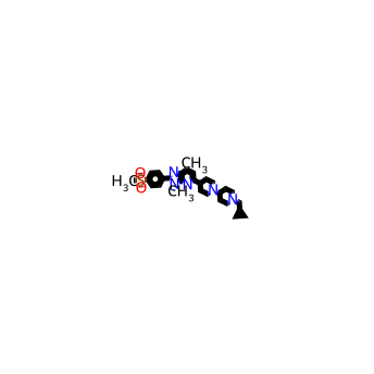 Cc1cc(C2CCN(C3CCN(CC4CC4)CC3)CC2)nc2c1nc(-c1ccc(S(C)(=O)=O)cc1)n2C